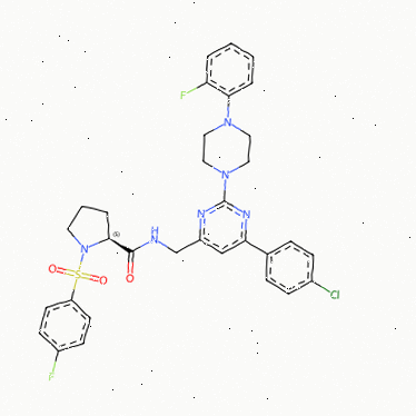 O=C(NCc1cc(-c2ccc(Cl)cc2)nc(N2CCN(c3ccccc3F)CC2)n1)[C@@H]1CCCN1S(=O)(=O)c1ccc(F)cc1